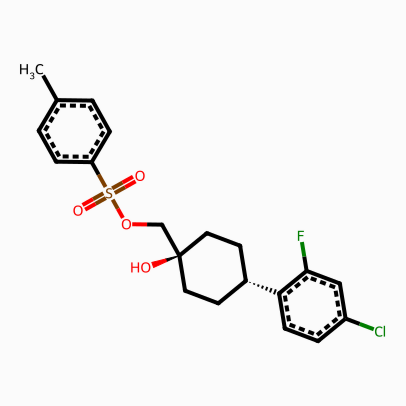 Cc1ccc(S(=O)(=O)OC[C@]2(O)CC[C@H](c3ccc(Cl)cc3F)CC2)cc1